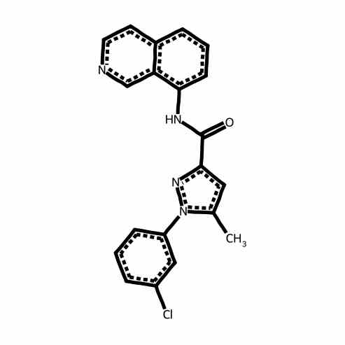 Cc1cc(C(=O)Nc2cccc3ccncc23)nn1-c1cccc(Cl)c1